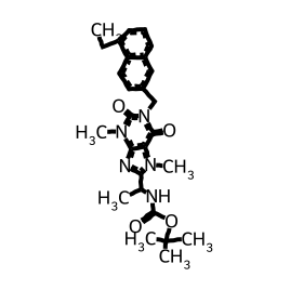 CCc1cccc2cc(Cn3c(=O)c4c(nc(C(C)NC(=O)OC(C)(C)C)n4C)n(C)c3=O)ccc12